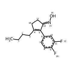 CCCCC1=C(c2ccc(F)c(F)c2)C(=NO)CC1